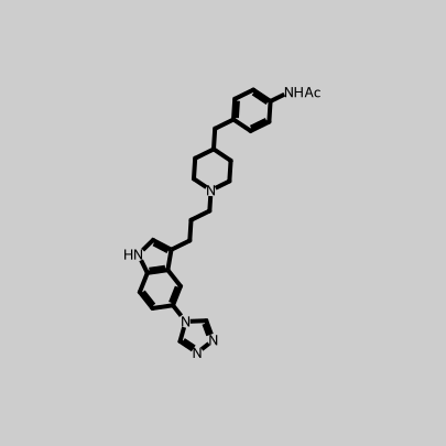 CC(=O)Nc1ccc(CC2CCN(CCCc3c[nH]c4ccc(-n5cnnc5)cc34)CC2)cc1